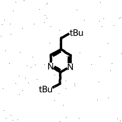 CC(C)(C)Cc1cnc(CC(C)(C)C)nc1